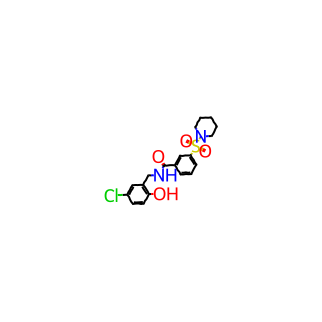 O=C(NCc1cc(Cl)ccc1O)c1cccc(S(=O)(=O)N2CCCCC2)c1